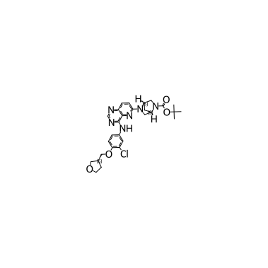 CC(C)(C)OC(=O)N1C[C@@H]2C[C@H]1CN2c1ccc2ncnc(Nc3ccc(OC[C@H]4CCOC4)c(Cl)c3)c2n1